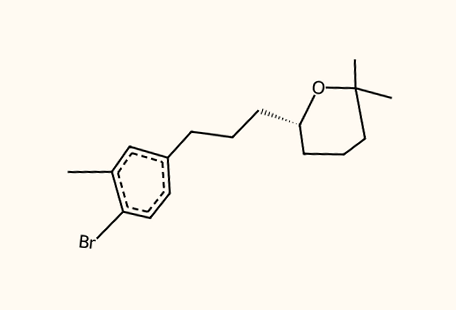 Cc1cc(CCC[C@H]2CCCC(C)(C)O2)ccc1Br